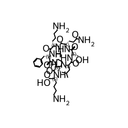 CC(C)C[C@H](N)C(=O)N[C@@H](CO)C(=O)N[C@@H](CCC(N)=O)C(=O)N[C@@H](CCCCN)C(=O)N[C@@H](Cc1ccccc1)C(=O)N1CCC[C@H]1C(=O)N[C@@H](CCCCN)C(=O)O